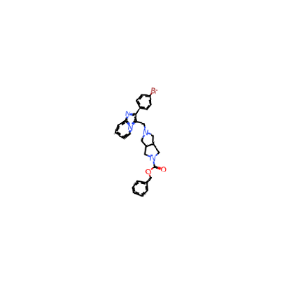 O=C(OCc1ccccc1)N1CC2CN(Cc3c(-c4ccc(Br)cc4)nc4ccccn34)CC2C1